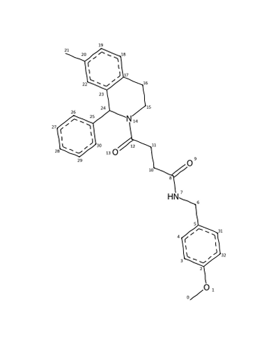 COc1ccc(CNC(=O)CCC(=O)N2CCc3ccc(C)cc3C2c2ccccc2)cc1